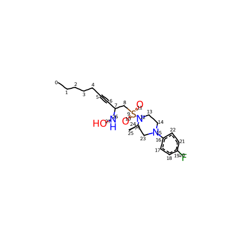 CCCCCC#CC(CS(=O)(=O)N1CCN(c2ccc(F)cc2)C[C@H]1C)NO